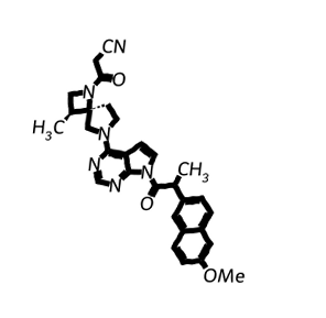 COc1ccc2cc(C(C)C(=O)n3ccc4c(N5CC[C@]6(C5)[C@@H](C)CN6C(=O)CC#N)ncnc43)ccc2c1